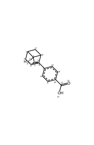 CC1(C)C2CC=C(c3ccc(C(=O)O)cc3)C1C2